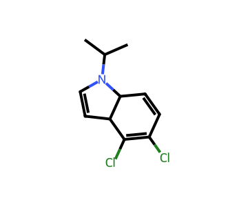 CC(C)N1C=CC2C(Cl)=C(Cl)C=CC21